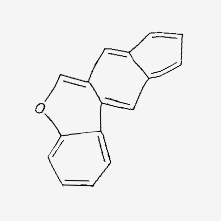 c1cc2cc3coc4ccccc4c3cc2c1